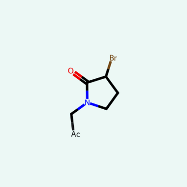 CC(=O)CN1CCC(Br)C1=O